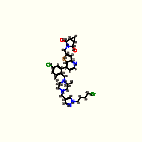 Cc1cc(Cl)cc(-c2ccnc3cc(CN4C(=O)C5CC5C4=O)sc23)c1CN1[C@@H](C)CN(Cc2cnn(CCCCBr)c2)C[C@@H]1C